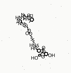 Cc1nc(Nc2ncc(C(=O)Nc3c(C)cccc3Cl)s2)cc(N2CCN(CCOC(=O)OCCSSCCNC(=S)Nc3ccc4c(c3)C(=O)OC43c4ccc(O)cc4Oc4cc(O)ccc43)CC2)n1